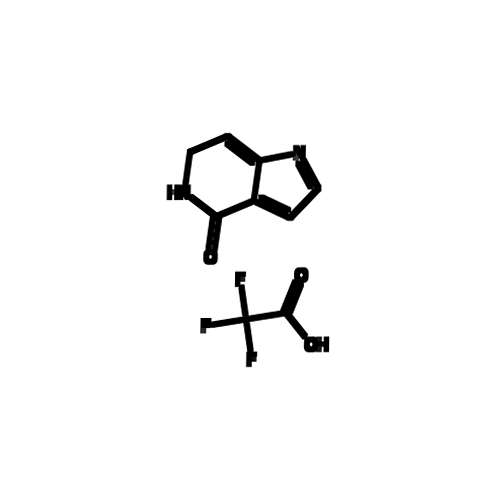 O=C(O)C(F)(F)F.O=C1NCC=C2N=CC=C12